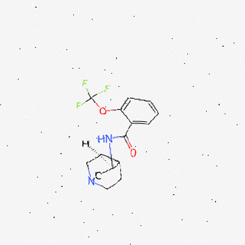 O=C(N[C@@H]1CN2CCC1CC2)c1ccccc1OC(F)(F)F